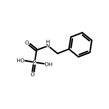 O=C(NCc1ccccc1)P(=O)(O)O